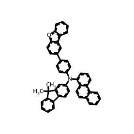 CC1(C)c2ccccc2-c2ccc(N(c3ccc(-c4ccc5oc6ccccc6c5c4)cc3)c3cccc4c3ccc3ccccc34)cc21